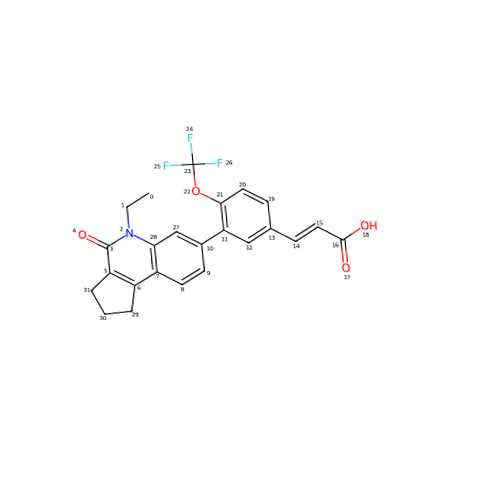 CCn1c(=O)c2c(c3ccc(-c4cc(/C=C/C(=O)O)ccc4OC(F)(F)F)cc31)CCC2